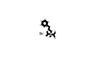 CC(C)[N+](C)(CCCc1ccccc1)C(C)C.[Br-]